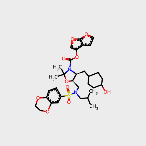 CC(C)CN(C[C@H]1OC(C)(C)N(C(=O)Oc2coc3occc23)[C@H]1CC1CCC(O)CC1)S(=O)(=O)c1ccc2c(c1)OCCO2